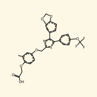 Cc1cc(OCc2nc(-c3ccc4c(c3)OCO4)c(-c3ccc(OC(F)(F)F)cc3)s2)ccc1OCC(=O)O